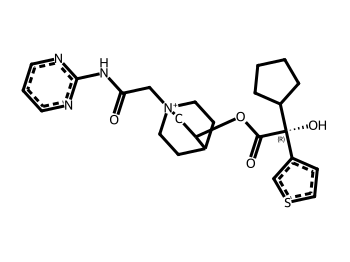 O=C(C[N+]12CCC(CC1)C(OC(=O)[C@](O)(c1ccsc1)C1CCCC1)C2)Nc1ncccn1